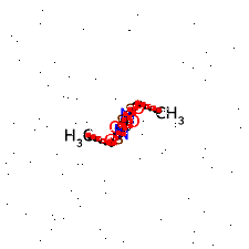 CCCCCCCCc1ccc(-c2cc3c(nc4c5ccc6c(=O)n7c8cc(-c9ccc(CCCCCCCC)o9)sc8nc7c7sc(c(=O)n34)c5c67)s2)o1